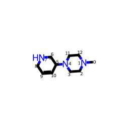 CN1CCN(C2[C]NCC=C2)CC1